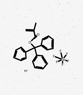 C=C(C)C(=O)OC(c1ccccc1)(c1ccccc1)c1ccccc1.[F][Sb-]([F])([F])([F])([F])[F].[H+]